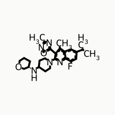 Cc1noc(-c2c(N3CCC(N[C@H]4CCCOC4)CC3)nc3c(F)cc(C(C)C)cc3c2C)n1